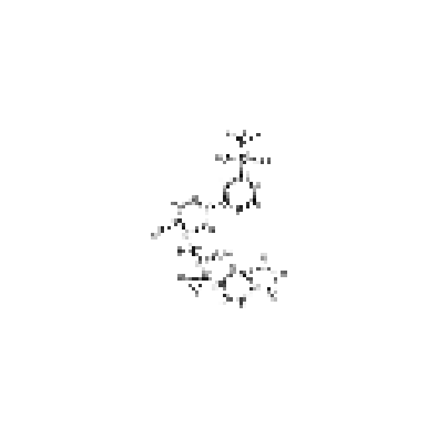 CN(C)S(=O)(=O)c1cccc(-c2ccc(F)c(NC(=O)C3(c4ccc5c(c4)OCO5)CC3)c2)c1